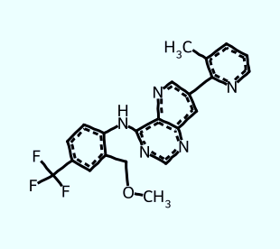 COCc1cc(C(F)(F)F)ccc1Nc1ncnc2cc(-c3ncccc3C)cnc12